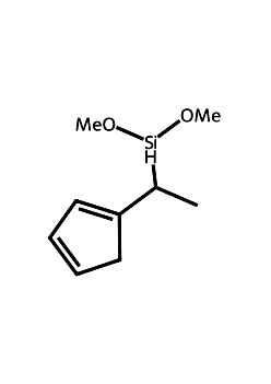 CO[SiH](OC)C(C)C1=CC=CC1